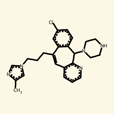 Cc1cn(CCCC2=Cc3cccnc3C(N3CCNCC3)c3ccc(Cl)cc32)cn1